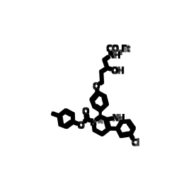 CCOC(=O)NCC(O)CCOc1ccc([C@H]2C3=C(CCN2C(=O)Oc2ccc(C)cc2)C2C=C(Cl)C=CC2N3)cc1